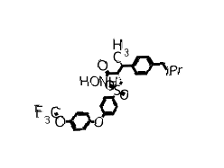 CC(C)Cc1ccc([C@@H](C)[C@H](CS(=O)(=O)c2ccc(Oc3ccc(OC(F)(F)F)cc3)cc2)C(=O)NO)cc1